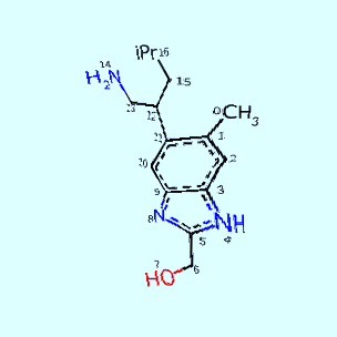 Cc1cc2[nH]c(CO)nc2cc1C(CN)CC(C)C